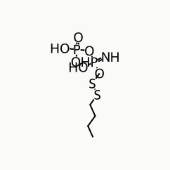 CCCCSSOP(=N)(O)OP(=O)(O)O